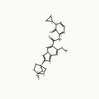 CC(C)Oc1cc2nc([C@]34CC[C@H](C3)OC4)cn2cc1C(=O)Nc1cccn(C2CC2)c1=O